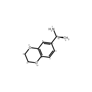 C[C@H](N)c1ccc2c(c1)OCCO2